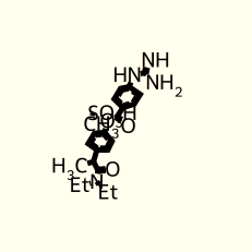 CCN(CC)C(=O)C(C)c1ccc(OC(=O)c2ccc(NC(=N)N)cc2)cc1.CS(=O)(=O)O